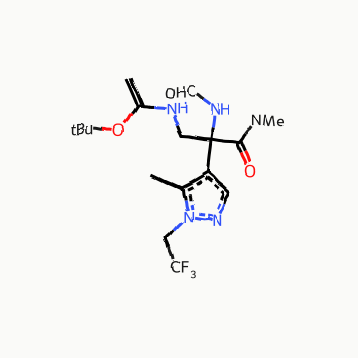 C=C(NCC(NC=O)(C(=O)NC)c1cnn(CC(F)(F)F)c1C)OC(C)(C)C